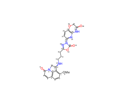 COc1ccc2ccc(=O)n3c2c1[C@H](NCCCc1nn(-c2ccc4c(n2)NC(=O)CO4)c(=O)o1)C3